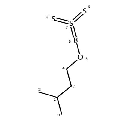 CC(C)CCOB=S(=S)=S